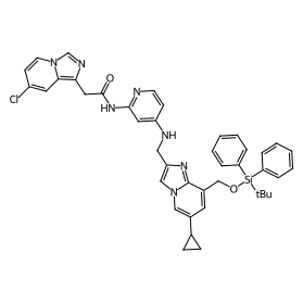 CC(C)(C)[Si](OCc1cc(C2CC2)cn2cc(CNc3ccnc(NC(=O)Cc4ncn5ccc(Cl)cc45)c3)nc12)(c1ccccc1)c1ccccc1